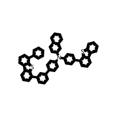 c1ccc(-c2cccc3c2sc2c(-c4cccc(-c5ccc(N(c6ccc(-c7cccc8c7sc7ccccc78)cc6)c6ccc7ccccc7c6)cc5)c4)cccc23)cc1